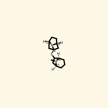 CN1[C@H]2CCC[C@@H]1C(S[C@@]13C[C@H]4CC[C@@H](C1)N43)C2